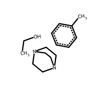 C1CN2CCN1CC2.CCO.Cc1ccccc1